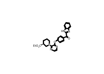 CCOC(=O)[C@H]1CCCN(c2nccnc2Oc2ccc(C(=O)c3nc4ccccc4[nH]3)cc2)C1